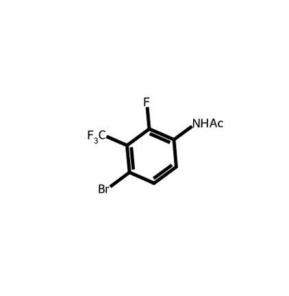 CC(=O)Nc1ccc(Br)c(C(F)(F)F)c1F